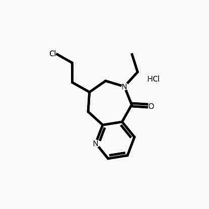 CCN1CC(CCCl)Cc2ncccc2C1=O.Cl